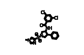 Cn1cnc(S(=O)(=O)N2CC(NC(=O)c3cc(Cl)cc(Cl)c3)C(c3ccccc3)C2)c1